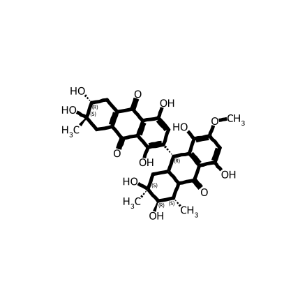 COc1cc(O)c2c(c1O)[C@@H](c1cc(O)c3c(c1O)C(=O)C1=C(C[C@@H](O)[C@@](C)(O)C1)C3=O)C1C[C@](C)(O)[C@H](O)[C@@H](C)C1C2=O